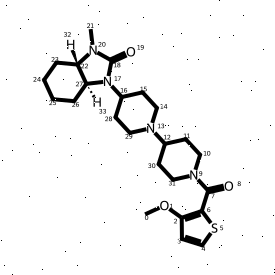 COc1ccsc1C(=O)N1CCC(N2CCC(N3C(=O)N(C)[C@H]4CCCC[C@@H]43)CC2)CC1